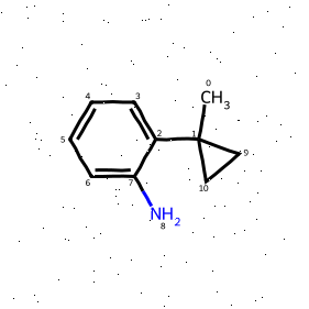 CC1(c2ccccc2N)CC1